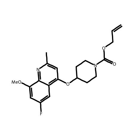 C=CCOC(=O)N1CCC(Oc2cc(C)nc3c(OC)cc(F)cc23)CC1